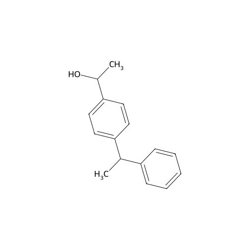 CC(O)c1ccc(C(C)c2ccccc2)cc1